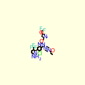 C=CC(=O)N1CCN(c2nc(OCC3CC(OC(F)F)CN3C)nc3cc(-c4nc(N)ccc4C(F)(F)F)c(Cl)cc23)CC1